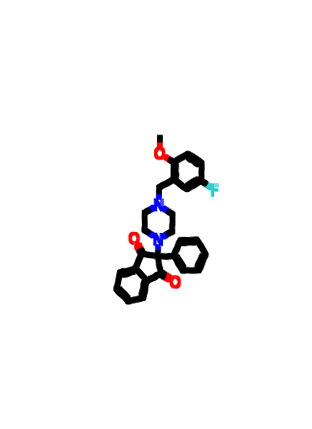 COc1ccc(F)cc1CN1CCN(C2(c3ccccc3)C(=O)c3ccccc3C2=O)CC1